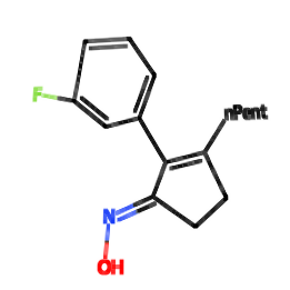 CCCCCC1=C(c2cccc(F)c2)C(=NO)CC1